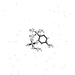 COS(=O)(=O)[O-].C[N+](C)(C)C1CCC(N)CC1